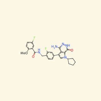 COc1ccc(F)cc1C(=O)NCc1ccc(-c2cn(C3CCCC3)c3c(=O)[nH]nc(N)c23)cc1F